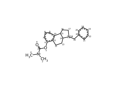 CN(C)C(=O)Oc1cccc2c1CCC1C2CCN1Cc1ccccc1